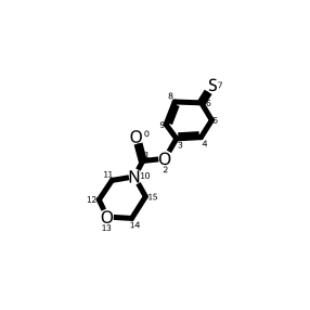 O=C(OC1=CCC(=S)C=C1)N1CCOCC1